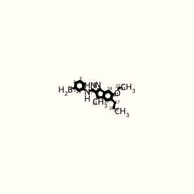 Bc1cccc(Nc2[nH]nc3c2C(C)c2cc(CCC)c(OCC)cc2-3)c1